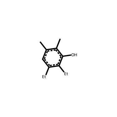 CCc1cc(C)c(C)c(O)c1CC